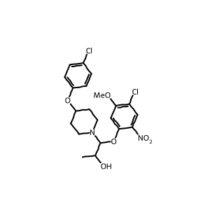 COc1cc(OC(C(C)O)N2CCC(Oc3ccc(Cl)cc3)CC2)c([N+](=O)[O-])cc1Cl